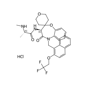 CN[C@@H](C)C(=O)N[C@@H]1C(=O)N(Cc2c(OCC(F)(F)F)ccc3ccccc23)c2ccccc2OC12CCOCC2.Cl